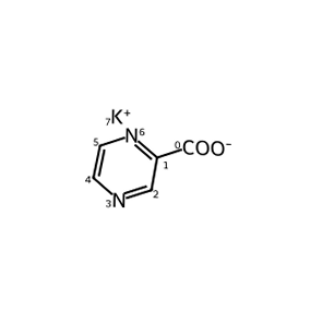 O=C([O-])c1cnccn1.[K+]